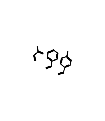 C=CC(=C)C.C=Cc1ccc(C)cc1.C=Cc1ccccc1